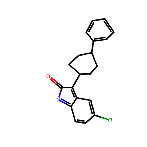 O=C1N=c2ccc(Cl)cc2=C1C1CCC(c2ccccc2)CC1